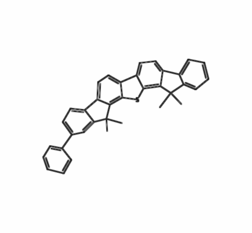 CC1(C)c2ccccc2-c2ccc3c(sc4c5c(ccc43)-c3ccc(-c4ccccc4)cc3C5(C)C)c21